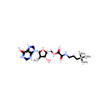 CO[Si](CCCNC(=O)C(=O)OC[C@H]1O[C@@H](n2cnc3c(=O)[nH]cnc32)C(OC(C)=O)[C@H]1O)(OC)OC